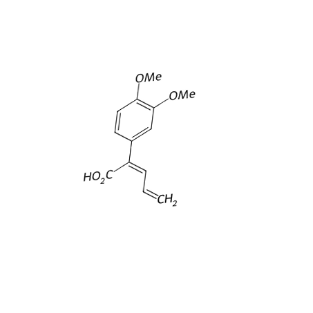 C=CC=C(C(=O)O)c1ccc(OC)c(OC)c1